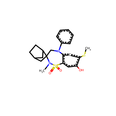 CSc1cc2c(cc1O)S(=O)(=O)N(C)C1(CC3CCC1C3)CN2c1ccccc1